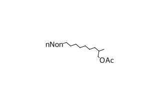 CCCCCCCCCCCCCCCCC(C)COC(C)=O